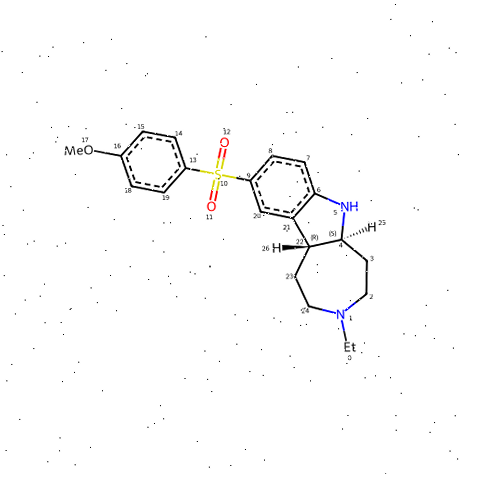 CCN1CC[C@@H]2Nc3ccc(S(=O)(=O)c4ccc(OC)cc4)cc3[C@H]2CC1